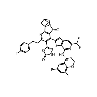 O=C1c2c(nc(CCc3ccc(F)cc3)c(-c3n[nH]c(=O)o3)c2-c2cc3cc(C(F)F)nc(N[C@@H]4CCOc5c(F)cc(F)cc54)c3s2)C23CC(CN12)C3